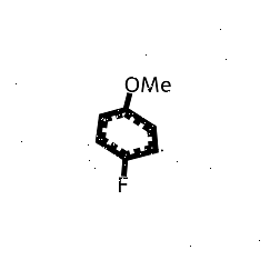 COc1c[c]c(F)cc1